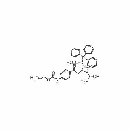 C=CCOC(=O)Nc1ccc(C(=O)C[C@@H]2[C@@H]([C@@H](C)O)C(=O)N2C(C(=O)O)=P(c2ccccc2)(c2ccccc2)c2ccccc2)cc1